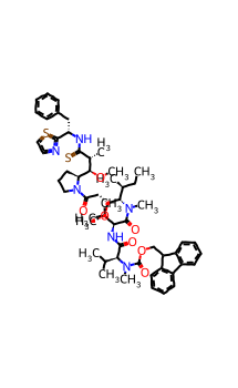 CC[C@H](C)[C@@H]([C@@H](CC(=O)N1CCC[C@H]1[C@H](OC)[C@@H](C)C(=S)N[C@@H](Cc1ccccc1)c1nccs1)OC)N(C)C(=O)[C@@H](NC(=O)[C@H](C(C)C)N(C)C(=O)OCC1c2ccccc2-c2ccccc21)C(C)C